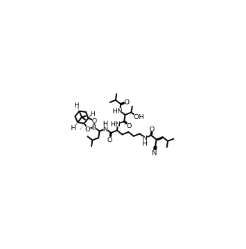 CC(C)C=C(C#N)C(=O)NCCCCC(NC(=O)C(NC(=O)C(C)C)C(C)O)C(=O)NC(CC(C)C)B1O[C@@H]2C[C@@H]3C[C@@H](C3(C)C)[C@]2(C)O1